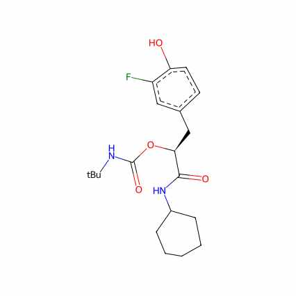 CC(C)(C)NC(=O)O[C@@H](Cc1ccc(O)c(F)c1)C(=O)NC1CCCCC1